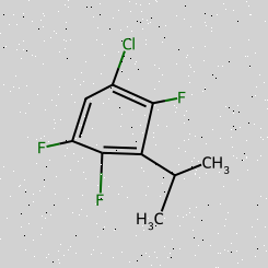 CC(C)c1c(F)c(F)cc(Cl)c1F